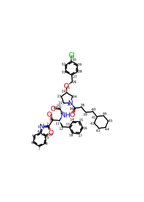 O=C(c1nc2ccccc2o1)[C@H](Cc1ccccc1)NC(=O)[C@@H]1C[C@@H](OCc2ccc(Cl)cc2)CN1C(=O)CCCC1CCCCC1